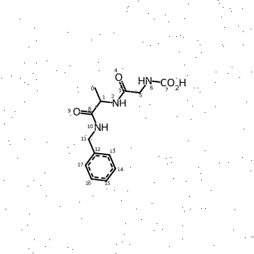 CC(NC(=O)CNC(=O)O)C(=O)NCc1ccccc1